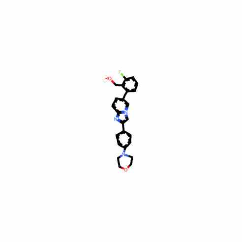 OCc1c(F)cccc1-c1ccc2nc(-c3ccc(N4CCOCC4)cc3)cn2c1